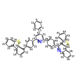 c1ccc(-c2cc(-c3ccc(-c4cccc5c4sc4ccccc45)cc3)nc(-c3ccc(-c4nc5ccccc5c5sc6ccccc6c45)cc3)c2)cc1